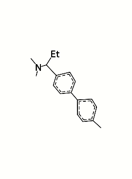 CCC(c1ccc(-c2ccc(C)cc2)cc1)N(C)C